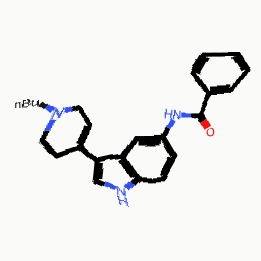 CCCCN1CC=C(c2c[nH]c3ccc(NC(=O)c4ccccc4)cc23)CC1